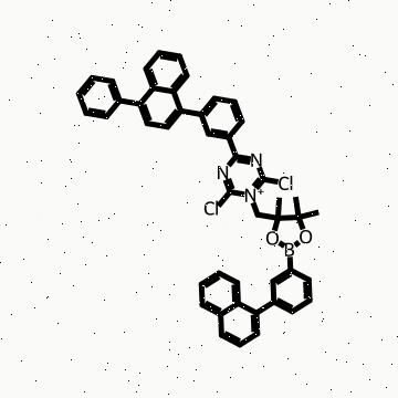 CC1(C)OB(c2cccc(-c3cccc4ccccc34)c2)OC1(C)C[n+]1c(Cl)nc(-c2cccc(-c3ccc(-c4ccccc4)c4ccccc34)c2)nc1Cl